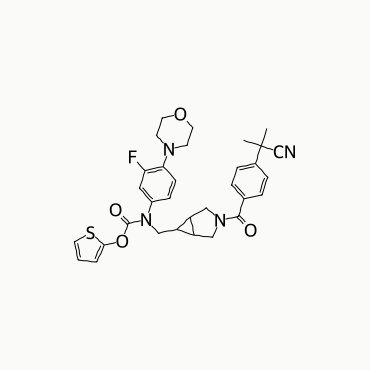 CC(C)(C#N)c1ccc(C(=O)N2CC3C(C2)C3CN(C(=O)Oc2cccs2)c2ccc(N3CCOCC3)c(F)c2)cc1